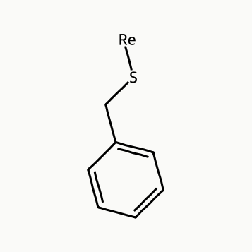 [Re][S]Cc1ccccc1